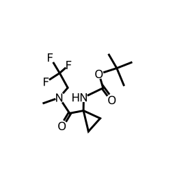 CN(CC(F)(F)F)C(=O)C1(NC(=O)OC(C)(C)C)CC1